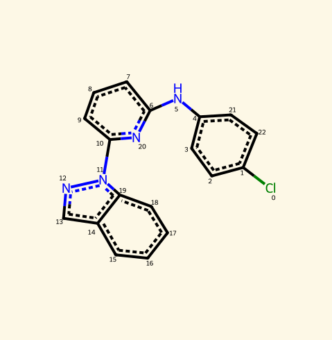 Clc1ccc(Nc2cccc(-n3ncc4ccccc43)n2)cc1